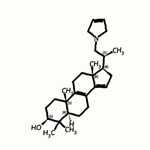 C[C@H](CN1CC=CC1)[C@H]1CC=C2C3=C(CC[C@@]21C)[C@@]1(C)CC[C@H](O)C(C)(C)[C@@H]1CC3